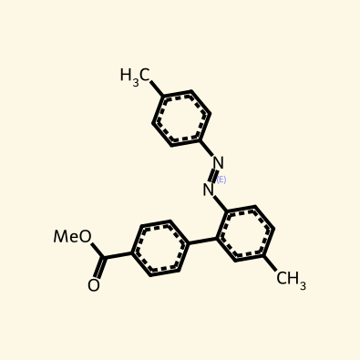 COC(=O)c1ccc(-c2cc(C)ccc2/N=N/c2ccc(C)cc2)cc1